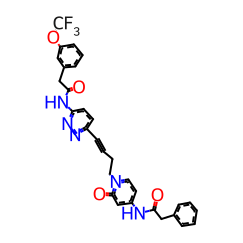 O=C(Cc1ccccc1)Nc1ccn(CCC#Cc2ccc(NC(=O)Cc3cccc(OC(F)(F)F)c3)nn2)c(=O)c1